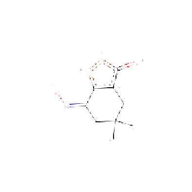 CC1(C)C/C(=N/O)c2ssc(=O)c2C1